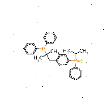 CC(C)P(=S)(c1ccccc1)c1ccc(CC(C)(C)P(c2ccccc2)c2ccccc2)cc1